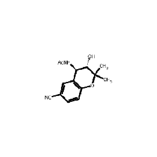 CC(=O)N[C@@H]1c2cc(C#N)ccc2OC(C)(C)[C@H]1O